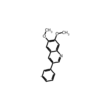 COc1cc2cc(-c3c[c]ccc3)cnc2cc1OC